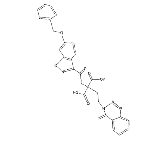 C=C1c2ccccc2N=NN1CCC(CC(=O)c1noc2cc(OCc3ccccc3)ccc12)(C(=O)O)C(=O)O